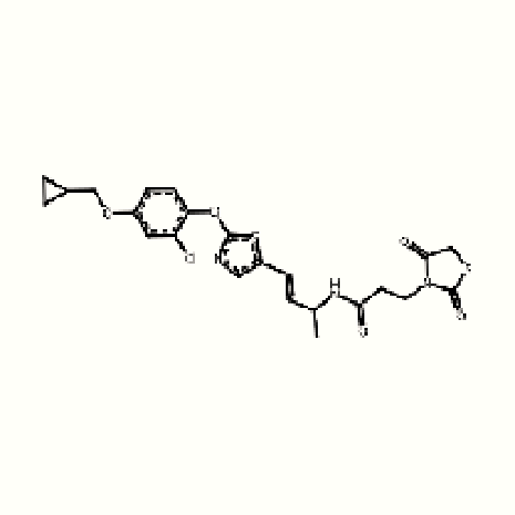 C[C@@H](/C=C/c1cnc(Oc2ccc(OCC3CC3)cc2Cl)s1)NC(=O)CCN1C(=O)CSC1=O